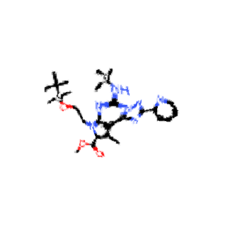 COC(=O)c1c(C)c2c(nc(N[Si](C)(C)C)n3nc(-c4ccccn4)nc23)n1CCO[Si](C)(C)C(C)(C)C